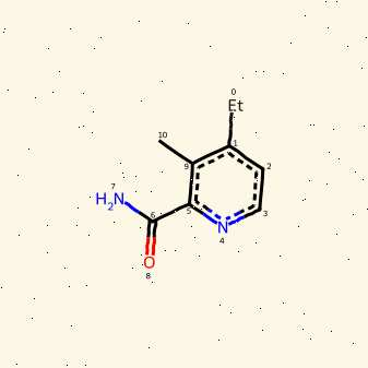 CCc1ccnc(C(N)=O)c1C